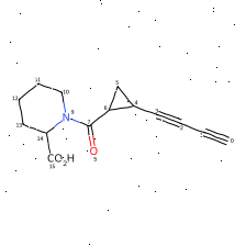 C#CC#CC1CC1C(=O)N1CCCCC1C(=O)O